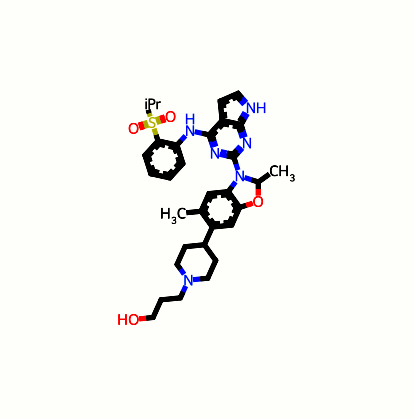 Cc1cc2c(cc1C1CCN(CCCO)CC1)OC(C)N2c1nc(Nc2ccccc2S(=O)(=O)C(C)C)c2cc[nH]c2n1